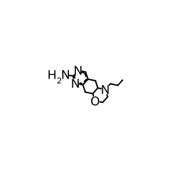 CCCN1CCOC2Cc3nc(N)ncc3CC21